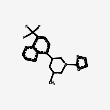 CC1CC(c2ccc(C(F)(F)F)c3ncccc23)CN(c2ncco2)C1